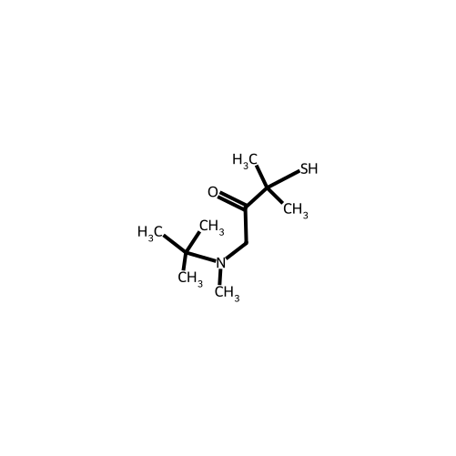 CN(CC(=O)C(C)(C)S)C(C)(C)C